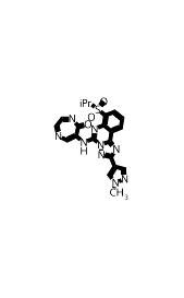 CC(C)S(=O)(=O)c1cccc2c1nc(Nc1cnccnc1=O)n1nc(-c3cnn(C)c3)nc21